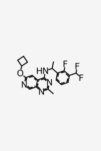 Cc1nc(NC(C)c2cccc(C(F)F)c2F)c2cc(OC3CCC3)ncc2n1